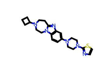 c1csc(N2CCN(c3ccc4c(c3)nc3n4CCN(C4CCC4)CC3)CC2)n1